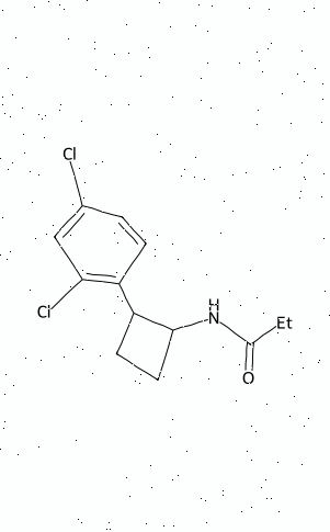 CCC(=O)NC1CCC1c1ccc(Cl)cc1Cl